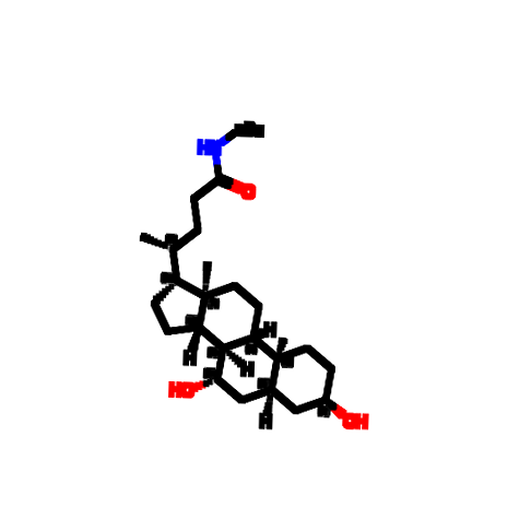 CCCCNC(=O)CC[C@@H](C)[C@H]1CC[C@H]2[C@@H]3[C@@H](O)C[C@@H]4C[C@H](O)CC[C@]4(C)[C@H]3CC[C@]12C